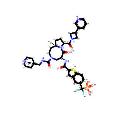 O=C(N[C@H]1CN(C(=O)NCC23CCN(CC2)CC3)CC[C@H]2CC[C@@H](C(=O)N3CC(c4cccnc4)C3)N2C1=O)c1cc2cc(C(F)(F)P(=O)(O)O)ccc2s1